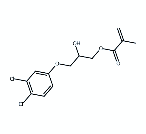 C=C(C)C(=O)OCC(O)COc1ccc(Cl)c(Cl)c1